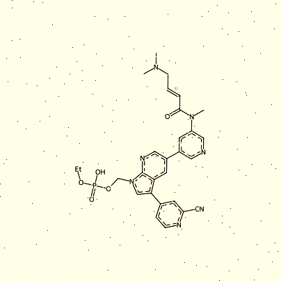 CCOP(=O)(O)OCn1cc(-c2ccnc(C#N)c2)c2cc(-c3cncc(N(C)C(=O)/C=C/CN(C)C)c3)cnc21